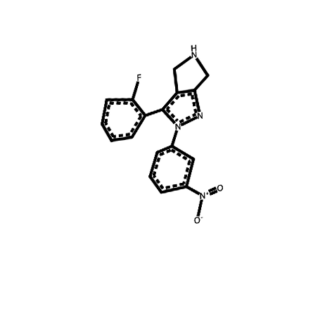 O=[N+]([O-])c1cccc(-n2nc3c(c2-c2ccccc2F)CNC3)c1